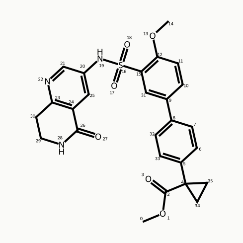 COC(=O)C1(c2ccc(-c3ccc(OC)c(S(=O)(=O)Nc4cnc5c(c4)C(=O)NCC5)c3)cc2)CC1